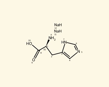 N[C@@H](Cc1cnc[nH]1)C(=O)O.[NaH].[NaH]